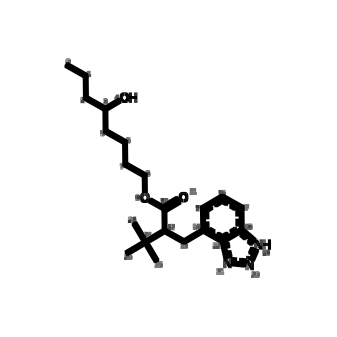 CCCC(O)CCCCOC(=O)C(Cc1cccc2[nH]nnc12)C(C)(C)C